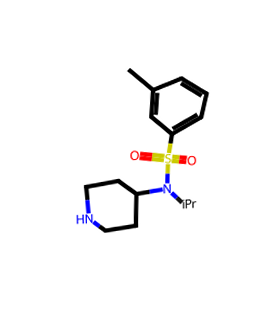 Cc1cccc(S(=O)(=O)N(C(C)C)C2CCNCC2)c1